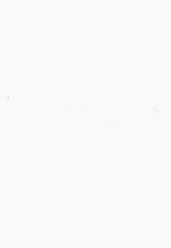 COCOc1cccc(CCc2ccccc2OCCC2CCCN2C)c1